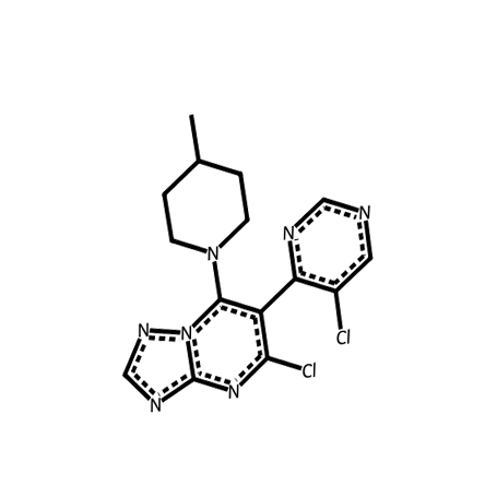 CC1CCN(c2c(-c3ncncc3Cl)c(Cl)nc3ncnn23)CC1